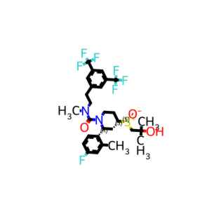 Cc1cc(F)ccc1[C@H]1C[C@@H]([S@+]([O-])CC(C)(C)O)CCN1C(=O)N(C)CCc1cc(C(F)(F)F)cc(C(F)(F)F)c1